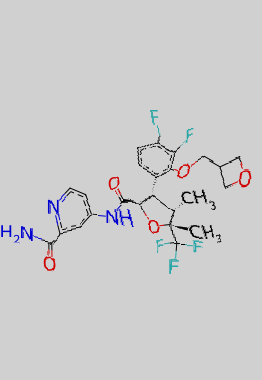 C[C@H]1[C@@H](c2ccc(F)c(F)c2OCC2COC2)[C@H](C(=O)Nc2ccnc(C(N)=O)c2)O[C@@]1(C)C(F)(F)F